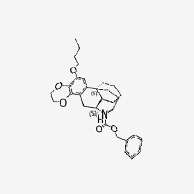 CCCCOc1cc2c(c3c1OCCO3)C[C@H]1C3CCCC[C@@]23CCCN1C(=O)OCc1ccccc1